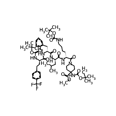 COC(=O)C1(NC(=O)OC(C)(C)C)CCN(C(=O)[C@@H](CCCCNC(=O)OC(C)(C)C)NC(=O)[C@@H](CC(C)C)NC(=O)[C@@H](Cc2ccccc2)NC(=O)[C@@H](CCc2ccc(C(F)(F)F)cc2)NC(=O)OC(C)(C)C)CC1